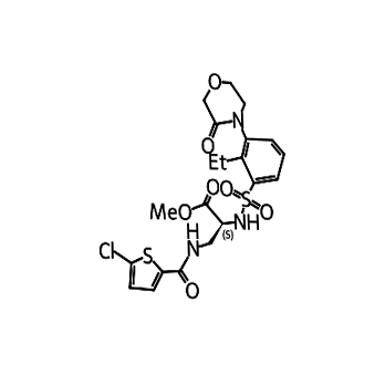 CCc1c(N2CCOCC2=O)cccc1S(=O)(=O)N[C@@H](CNC(=O)c1ccc(Cl)s1)C(=O)OC